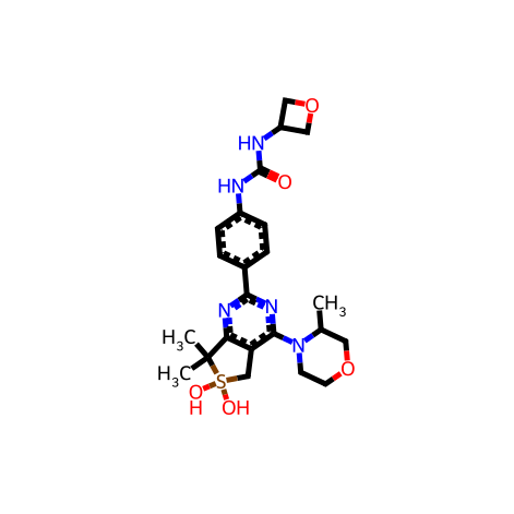 CC1COCCN1c1nc(-c2ccc(NC(=O)NC3COC3)cc2)nc2c1CS(O)(O)C2(C)C